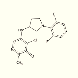 Cn1ncc(NC2CCN(c3c(F)cccc3F)C2)c(Cl)c1=O